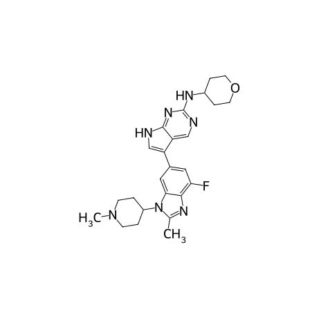 Cc1nc2c(F)cc(-c3c[nH]c4nc(NC5CCOCC5)ncc34)cc2n1C1CCN(C)CC1